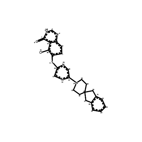 O=c1[nH]cnc2ccc(Sc3cnc(N4CCC5(CC4)Cc4ccccc4C5)cn3)c(Cl)c12